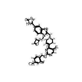 O=c1[nH]c(-c2ccc3c(c2)nc(CN2CC=C(c4nc(OCc5ccc(Cl)cc5F)ncc4F)CC2)n3C[C@@H]2CCO2)no1